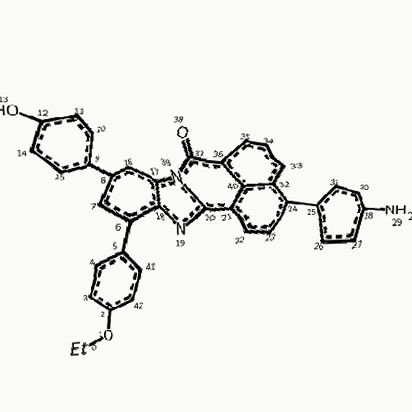 CCOc1ccc(-c2cc(-c3ccc(O)cc3)cc3c2nc2c4ccc(-c5ccc(N)cc5)c5cccc(c(=O)n32)c54)cc1